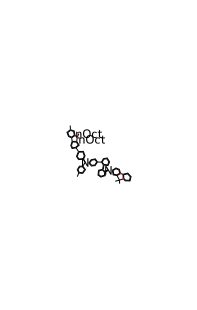 CCCCCCCCC1(CCCCCCCC)c2cc(C)ccc2-c2ccc(-c3ccc(N(c4ccc(C)cc4)c4ccc(-c5cccc6c5c5ccccc5n6-c5ccc6c(c5)C(C)(C)c5ccccc5-6)cc4)cc3)cc21